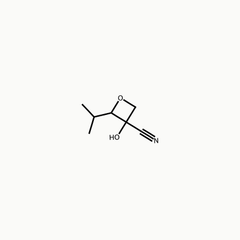 CC(C)C1OCC1(O)C#N